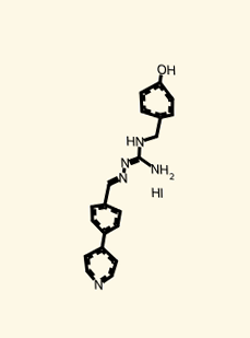 I.N/C(=N\N=C\c1ccc(-c2ccncc2)cc1)NCc1ccc(O)cc1